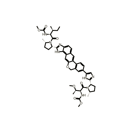 CC[C@H](C)[C@H](NC(=O)OC)C(=O)N1[C@@H](C)CC[C@H]1c1nc2ccc3cc4c(cc3c2[nH]1)OCc1cc(-c2cnc([C@@H]3CC[C@H](C)N3C(=O)[C@@H](NC(=O)OC)[C@@H](C)OC)[nH]2)ccc1-4